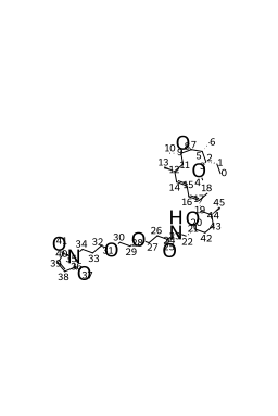 CC[C@H](OC)[C@@H](C)[C@H]1O[C@]1(C)C[C@H](C)/C=C/C=C(\C)[C@H]1O[C@@H](CNC(=O)CCOCCOCCCN2C(=O)C=CC2=O)CC[C@@H]1C